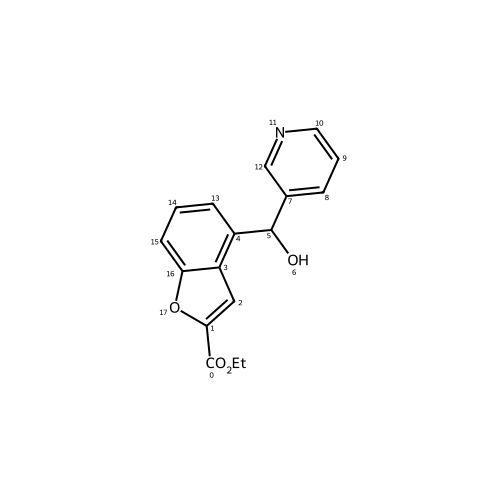 CCOC(=O)c1cc2c(C(O)c3cccnc3)cccc2o1